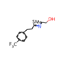 CS/C(CCc1ccc(C(F)(F)F)cc1)=N\CCO